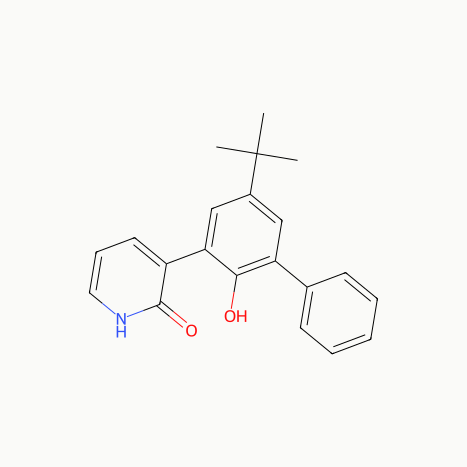 CC(C)(C)c1cc(-c2ccccc2)c(O)c(-c2ccc[nH]c2=O)c1